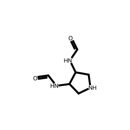 O=CNC1CNCC1NC=O